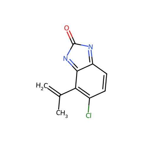 C=C(C)c1c(Cl)ccc2c1=NC(=O)N=2